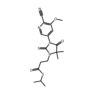 COc1cc(N2C(=O)C(C)(C)N(CCC(=O)SC(C)C)C2=S)cnc1C#N